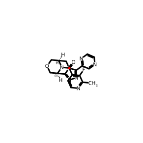 Cc1nccc(C(=O)N2[C@H]3COC[C@@H]2c2nnc(-c4cnccn4)n2C3)c1F